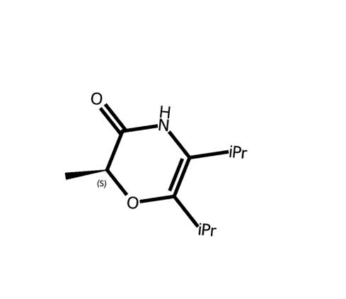 CC(C)C1=C(C(C)C)O[C@@H](C)C(=O)N1